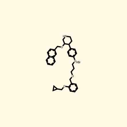 Br.c1ccc(OCC2CC2)c(COCCCOc2ccc(C3CCNCC3OCc3ccc4ccccc4c3)cc2)c1